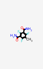 Cc1c(F)c(C(N)=O)c(F)c(C(N)=O)c1F